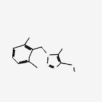 Cc1c(OC(=O)O)nnn1Cc1c(F)cccc1F